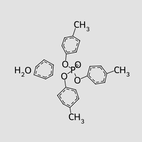 Cc1ccc(OP(=O)(Oc2ccc(C)cc2)Oc2ccc(C)cc2)cc1.O.c1ccccc1